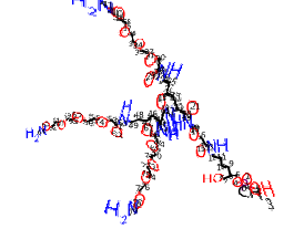 CP(=O)(O)OCC(CO)CCCCNC(=O)COCNC(=O)C(CCCCNC(=O)COCCOCCOCCON)NC(=O)C(CCCCNC(=O)COCCOCCOCCON)NC(=O)COCCOCCOCCON